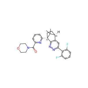 CC1(C)[C@H]2CC[C@]1(c1cccc(C(=O)N3CCOCC3)n1)c1nnc(-c3c(F)cccc3F)cc12